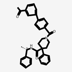 CC(=O)c1cccc(-c2ccc(C(=O)N3CCC(C(=O)N[C@@H](C)c4ccccc4)(c4ccccc4)CC3)cc2)c1